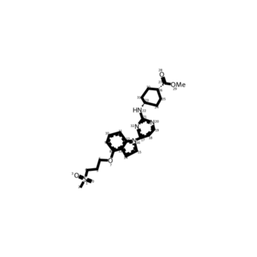 C=S(C)(=O)CCCOc1cccc2c1ccn2-c1ccnc(N[C@H]2CC[C@@H](C(=O)OC)CC2)n1